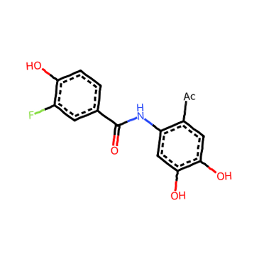 CC(=O)c1cc(O)c(O)cc1NC(=O)c1ccc(O)c(F)c1